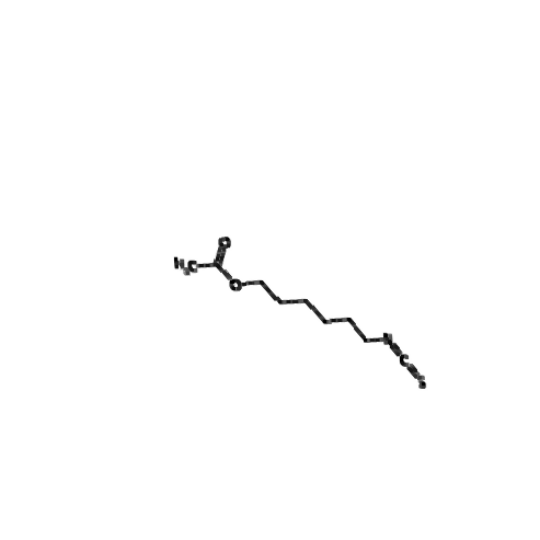 CC(=O)OCCCCCCN=C=S